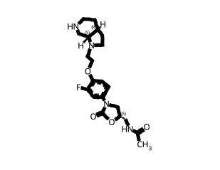 CC(=O)NC[C@H]1CN(c2ccc(OCCN3CC[C@H]4CCNC[C@H]43)c(F)c2)C(=O)O1